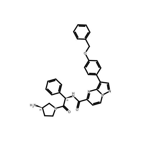 N[C@@H]1CCN(C(=O)[C@H](NC(=O)c2ccn3ncc(-c4ccc(OCc5ccccc5)cc4)c3n2)c2ccccc2)C1